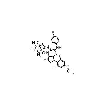 COc1cc(F)c(C2CN/C(=N\O[Si](C)(C)C(C)(C)C)C2NC(=O)Nc2ccc(F)cc2)c(F)c1